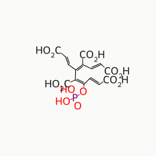 O=C(O)C=CC(OP(=O)(O)O)=C(C(=O)O)C(C=CC(=O)O)=C(C=CC(=O)O)C(=O)O